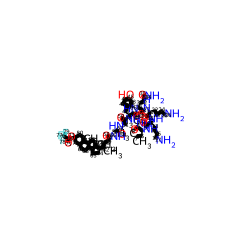 CNC(=O)[C@H](CC(C)C)NC(=O)[C@H](CCCCN)NC(=O)[C@H](CCCCN)NC(=O)[C@H](CCC(N)=O)NC(=O)[C@H](Cc1ccc(O)cc1)NC(=O)CNC(=O)CNC(=O)CC[C@@H](C)[C@H]1CCC2C3CCC4C[C@H](OC(=O)C(F)(F)F)CC[C@]4(C)C3CC[C@@]21C